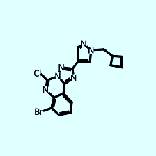 Clc1nc2c(Br)cccc2c2nc(-c3cnn(CC4CCC4)c3)nn12